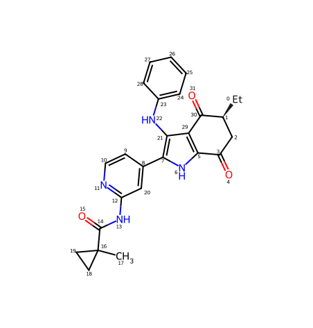 CC[C@H]1CC(=O)c2[nH]c(-c3ccnc(NC(=O)C4(C)CC4)c3)c(Nc3ccccc3)c2C1=O